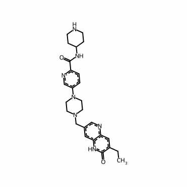 CCc1cc2ncc(CN3CCN(c4ccc(C(=O)NC5CCNCC5)nc4)CC3)cc2[nH]c1=O